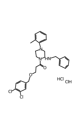 Cc1ccccc1N1CCN(C(=O)CCOCc2ccc(Cl)c(Cl)c2)C(NCc2ccccc2)C1.Cl.Cl